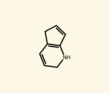 C1=CC2=C(C=CC2)NC1